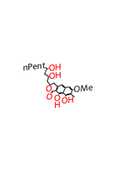 CCCCCC(O)CC(O)CC1Cc2cc3cc(OC)c(C)c(O)c3c(O)c2C(=O)O1